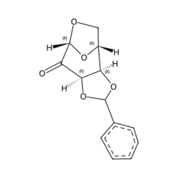 O=C1[C@@H]2OC[C@@H](O2)[C@H]2OC(c3ccccc3)O[C@@H]12